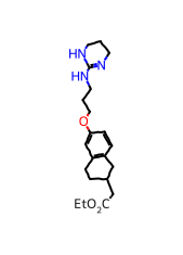 CCOC(=O)CC1CCc2cc(OCCCNC3=NCCCN3)ccc2C1